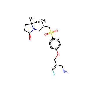 CC(CN1C(=O)CCC1(C)C)CS(=O)(=O)c1ccc(OC/C(=C/F)CN)cc1